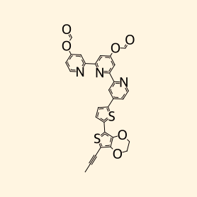 CC#Cc1sc(-c2ccc(-c3ccnc(-c4cc(OC=O)cc(-c5cc(OC=O)ccn5)n4)c3)s2)c2c1OCCO2